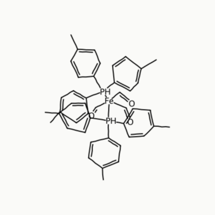 Cc1ccc([PH](c2ccc(C)cc2)(c2ccc(C)cc2)[Fe]([CH]=O)([CH]=O)([CH]=O)[PH](c2ccc(C)cc2)(c2ccc(C)cc2)c2ccc(C)cc2)cc1